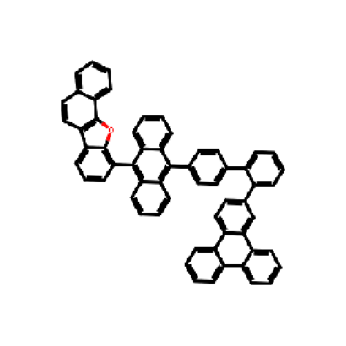 c1ccc(-c2ccc3c4ccccc4c4ccccc4c3c2)c(-c2ccc(-c3c4ccccc4c(-c4cccc5c4oc4c6ccccc6ccc54)c4ccccc34)cc2)c1